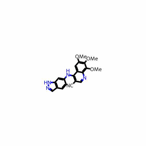 COc1cc2c(Nc3ccc4cn[nH]c4c3)c(C#N)cnc2c(OC)c1OC